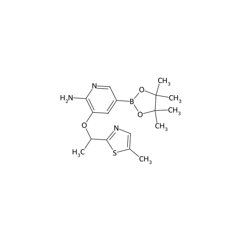 Cc1cnc(C(C)Oc2cc(B3OC(C)(C)C(C)(C)O3)cnc2N)s1